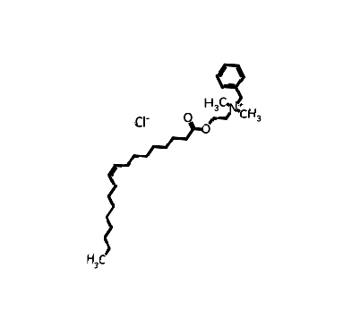 CCCCCCCC/C=C\CCCCCCCC(=O)OCC[N+](C)(C)Cc1ccccc1.[Cl-]